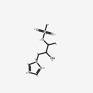 CC(OS(C)(=O)=O)C(O)Cn1cncn1